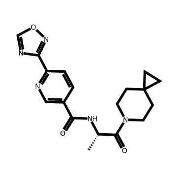 C[C@H](NC(=O)c1ccc(-c2ncon2)nc1)C(=O)N1CCC2(CC1)CC2